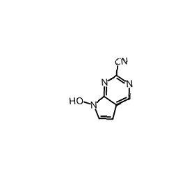 N#Cc1ncc2ccn(O)c2n1